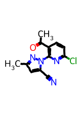 CC(=O)c1ccc(Cl)nc1-n1nc(C)cc1C#N